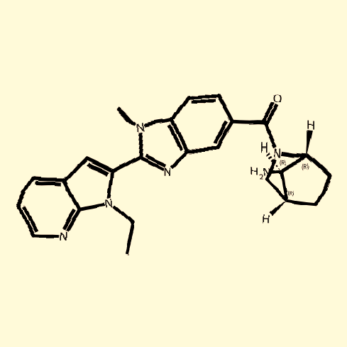 CCn1c(-c2nc3cc(C(=O)N4C[C@H]5CC[C@@H]4[C@@H]5N)ccc3n2C)cc2cccnc21